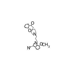 COc1cccc2c(C#N)cn(CCCN3CCC4(CC3)CC(=O)c3ccccc3O4)c12